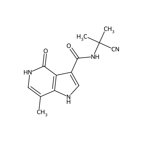 Cc1c[nH]c(=O)c2c(C(=O)NC(C)(C)C#N)c[nH]c12